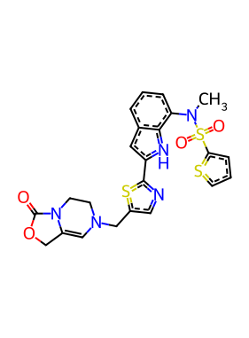 CN(c1cccc2cc(-c3ncc(CN4C=C5COC(=O)N5CC4)s3)[nH]c12)S(=O)(=O)c1cccs1